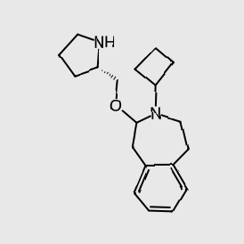 c1ccc2c(c1)CCN(C1CCC1)C(OC[C@@H]1CCCN1)C2